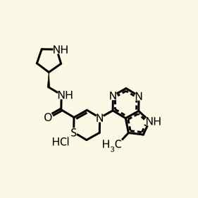 Cc1c[nH]c2ncnc(N3C=C(C(=O)NC[C@H]4CCNC4)SCC3)c12.Cl